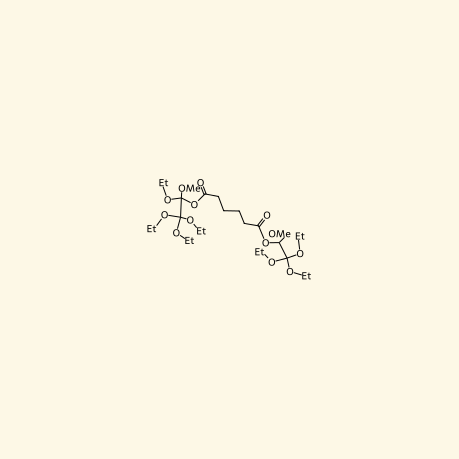 CCOC(OCC)(OCC)C(OC)OC(=O)CCCCC(=O)OC(OC)(OCC)C(OCC)(OCC)OCC